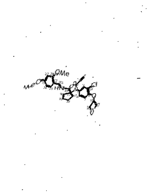 C#CC(=O)N(c1ccc(OC2COC2)c(Cl)c1)C1(C(=O)NCc2ccc(OC)cc2OC)CCCC1